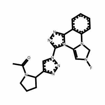 CC(=O)N1CCCC1c1cn(-c2nnc3n2C2=CN(F)CN2c2ccccc2-3)nn1